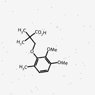 COc1ccc(C)c(OCC(C)(C)C(=O)O)c1OC